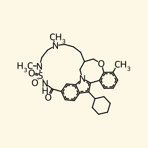 Cc1cccc2c1OCC1CCCN(C)CCN(C)S(=O)(=O)NC(=O)c3ccc4c(C5CCCCC5)c-2n(c4c3)C1